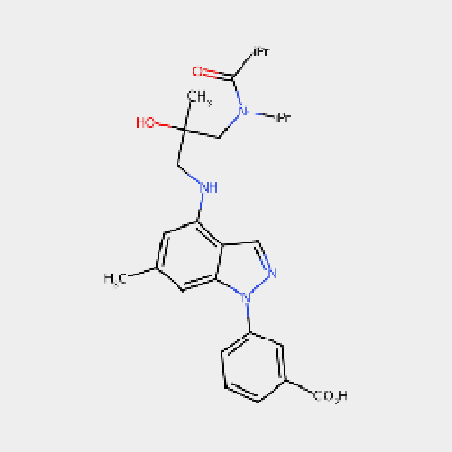 Cc1cc(NCC(C)(O)CN(C(=O)C(C)C)C(C)C)c2cnn(-c3cccc(C(=O)O)c3)c2c1